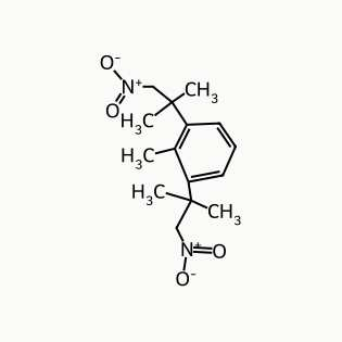 Cc1c(C(C)(C)C[N+](=O)[O-])cccc1C(C)(C)C[N+](=O)[O-]